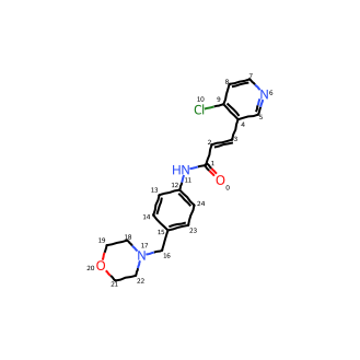 O=C(/C=C/c1cnccc1Cl)Nc1ccc(CN2CCOCC2)cc1